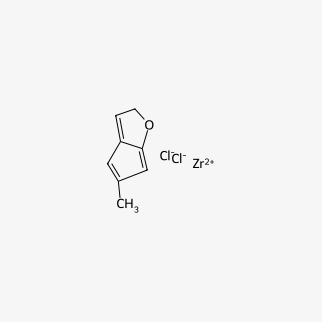 CC1=CC2=CCOC2=C1.[Cl-].[Cl-].[Zr+2]